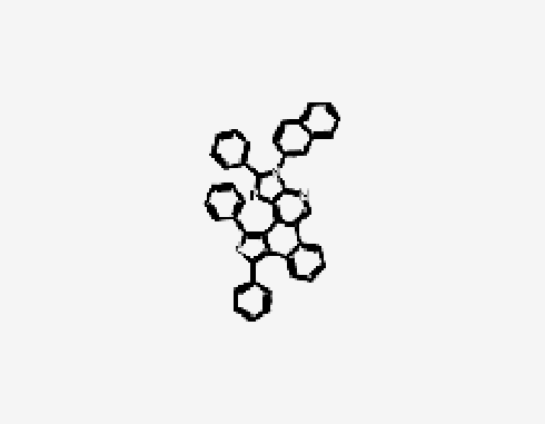 c1ccc(-c2sc(-c3ccccc3)c3c2c2ccccc2c2cnc4c(nc(-c5ccccc5)n4-c4ccc5ccccc5c4)c23)cc1